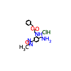 Cc1nc(-c2ccc(CN)c(NCC(=O)OCc3ccccc3)c2)no1.Cl